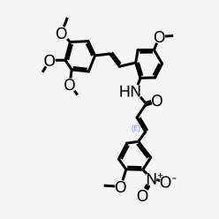 COc1ccc(NC(=O)/C=C/c2ccc(OC)c([N+](=O)[O-])c2)c(C=Cc2cc(OC)c(OC)c(OC)c2)c1